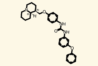 O=C(Nc1ccc(OC[C@@H]2CCCN3CCCC[C@H]23)cc1)Nc1cccc(Oc2ccccc2)c1